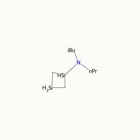 CCCN(C(C)CC)[SiH]1C[SiH2]C1